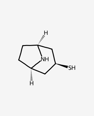 S[C@H]1C[C@H]2CC[C@@H](C1)N2